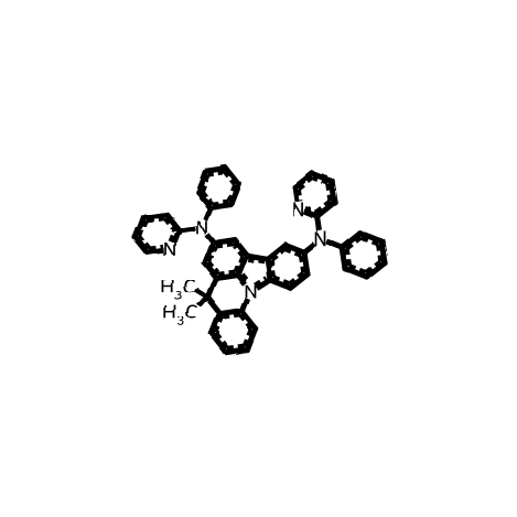 CC1(C)c2ccccc2-n2c3ccc(N(c4ccccc4)c4ccccn4)cc3c3cc(N(c4ccccc4)c4ccccn4)cc1c32